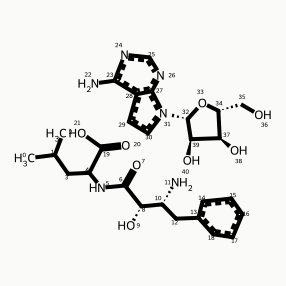 CC(C)CC(NC(=O)[C@@H](O)[C@H](N)Cc1ccccc1)C(=O)O.Nc1ncnc2c1ccn2[C@@H]1O[C@H](CO)[C@@H](O)[C@H]1O